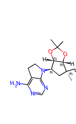 C=C[C@@]1(C)C[C@@H](N2CCc3c(N)ncnc32)[C@@H]2OC(C)(C)O[C@@H]21